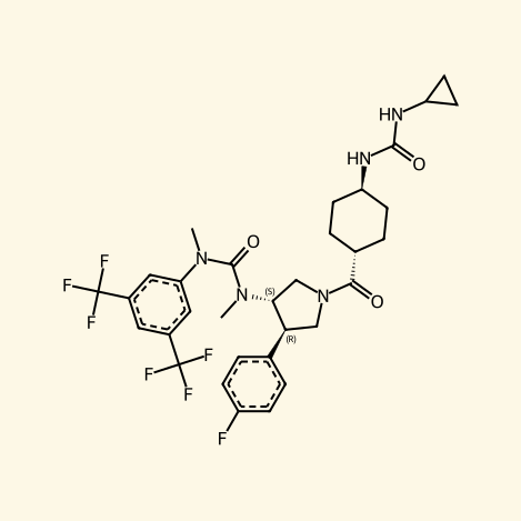 CN(C(=O)N(C)[C@@H]1CN(C(=O)[C@H]2CC[C@H](NC(=O)NC3CC3)CC2)C[C@H]1c1ccc(F)cc1)c1cc(C(F)(F)F)cc(C(F)(F)F)c1